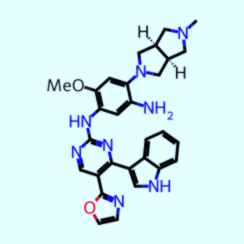 COc1cc(N2C[C@H]3CN(C)C[C@H]3C2)c(N)cc1Nc1ncc(-c2ncco2)c(-c2c[nH]c3ccccc23)n1